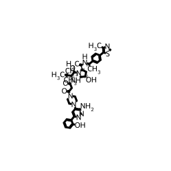 C=C(N[C@H](C)c1ccc(-c2scnc2C)cc1)[C@H]1C[C@H](O)CN1C(=O)[C@H](NC(=O)CC(=O)N1CCN(c2cc(-c3ccccc3O)nnc2N)CC1)C(C)(C)C